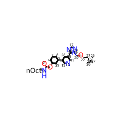 CCCCCCCCNC(=O)Oc1cccc(-c2cncc(-c3ncnn3COCC[Si](C)(C)C)c2)c1